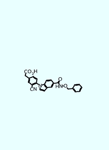 N#Cc1cc(CC(=O)O)ccc1-n1ccc2cc(C(=O)NOCc3ccccc3)ccc21